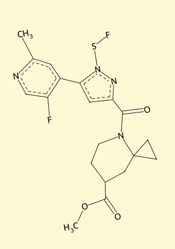 COC(=O)C1CCN(C(=O)c2cc(-c3cc(C)ncc3F)n(SF)n2)C2(CC2)C1